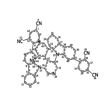 N#Cc1ccc(-c2ccc3c4ccccc4n(-c4cncc(-n5c6ccccc6c6ccc(-c7ccc(C#N)cc7C#N)cc65)c4-c4ccccc4C#N)c3c2)c(C#N)c1